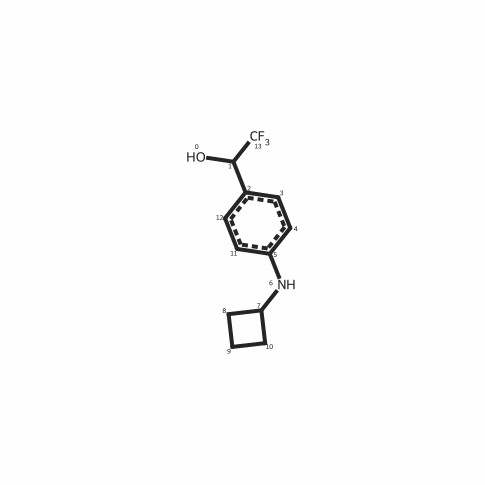 OC(c1ccc(NC2CCC2)cc1)C(F)(F)F